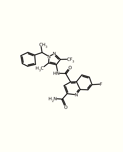 Cc1c(NC(=O)c2cc(C(N)=O)nc3cc(F)ccc23)c(C(F)(F)F)nn1C(C)c1ccccc1